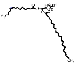 CCCC/C=C\CCCCCCCC(=O)OC[C@H](COP(=O)(O)O)OC(=O)CCCCCCCCCCCCCCCCCCCCC